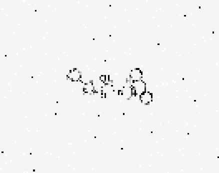 CN(CCN1CCN2c3ccccc3Cc3ccccc3[C@@H]2C1)C(=O)[C@@H]1CSC(c2cccnc2)N1